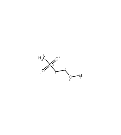 CCOCCS(C)(=O)=O